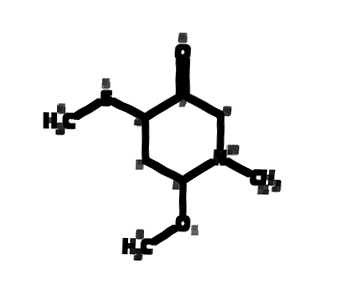 COC1CC(SC)C(=O)CN1C